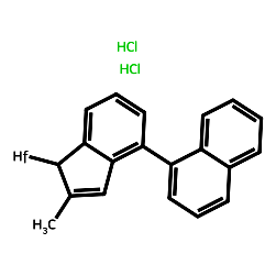 CC1=Cc2c(-c3cccc4ccccc34)cccc2[CH]1[Hf].Cl.Cl